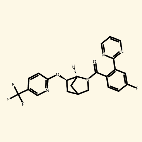 O=C(c1ccc(F)cc1-c1ncccn1)N1CC2C[C@@H](Oc3ccc(C(F)(F)F)cn3)[C@@H]1C2